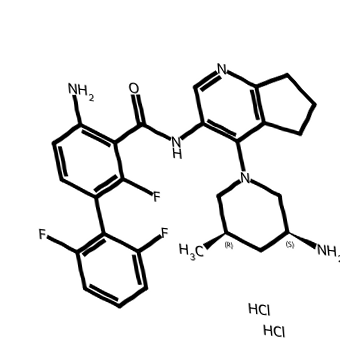 C[C@@H]1C[C@H](N)CN(c2c(NC(=O)c3c(N)ccc(-c4c(F)cccc4F)c3F)cnc3c2CCC3)C1.Cl.Cl